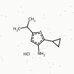 CC(C)c1cc(N)c(C2CC2)s1.Cl